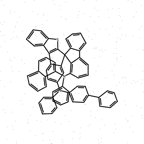 c1ccc(-c2ccc(N(c3ccccc3)c3ccc4c(c3)C3(c5ccccc5-c5cccc(N(c6ccccc6)c6cccc7ccccc67)c53)c3sc5ccccc5c3-4)cc2)cc1